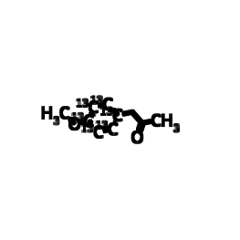 CO[13C]1=[13CH][13CH2][13CH](CC(C)=O)[13CH]=[13CH]1